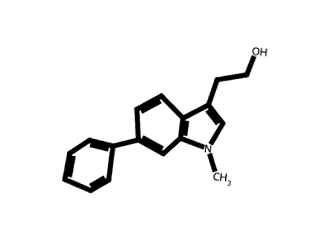 Cn1cc(CCO)c2ccc(-c3ccccc3)cc21